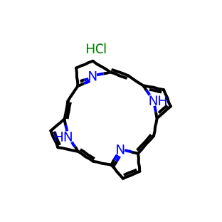 C1=Cc2cc3ccc(cc4nc(cc5ccc(cc1n2)[nH]5)CC4)[nH]3.Cl